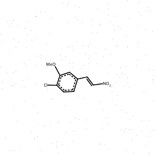 COc1cc(C=C[N+](=O)[O-])ccc1Cl